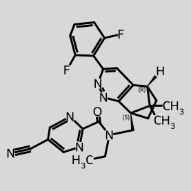 CCN(C[C@@]12CC[C@@H](c3cc(-c4c(F)cccc4F)nnc31)C2(C)C)C(=O)c1ncc(C#N)cn1